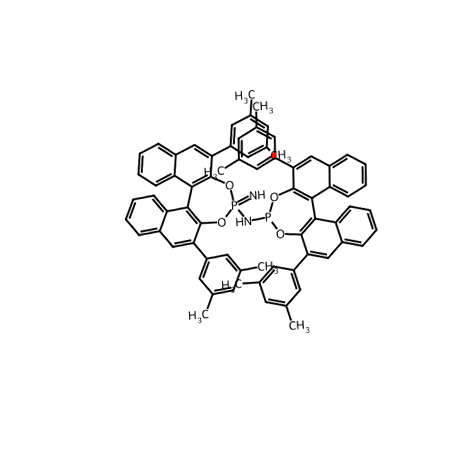 Cc1cc(C)cc(-c2cc3ccccc3c3c2OP(=N)(Np2oc4c(-c5cc(C)cc(C)c5)cc5ccccc5c4c4c(o2)c(-c2cc(C)cc(C)c2)cc2ccccc24)Oc2c(-c4cc(C)cc(C)c4)cc4ccccc4c2-3)c1